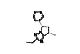 CCc1nc2n(n1)[C@H](c1ccccc1)C[C@@H]2C